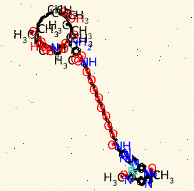 COc1ccc(-c2ccc3ncc4c(c3c2)n(-c2ccc(N3CCN(c5ncc(CNC(=O)CCOCCOCCOCCOCCOCCOCCOCCOCCNC(=O)O[C@@H]6CC[C@@H](C[C@@H](N)[C@@H]7C[C@@H](OC)[C@H](C)/C=C(\C)[C@@H](O)[C@@H](OC)C(=O)[C@H](C)C[C@H](C)/C=C/C=C/C=C(\C)[C@@H](OC)C[C@@H]8CC[C@@H](C)[C@@](O)(O8)C(=O)C(=O)N8CCCC[C@H]8C(=O)O7)C[C@H]6OC)cn5)CC3)c(C(F)(F)F)c2)c(=O)n4C)cn1